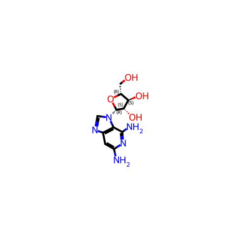 Nc1cc2ncn([C@@H]3O[C@H](CO)[C@@H](O)[C@@H]3O)c2c(N)n1